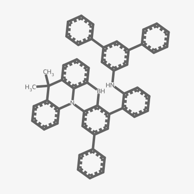 CC1(C)c2ccccc2N2c3cc(-c4ccccc4)cc(-c4ccccc4Nc4cc(-c5ccccc5)cc(-c5ccccc5)c4)c3Bc3cccc1c32